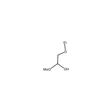 CCOCC(O)OC